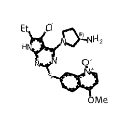 CCc1[nH]c2nc(Sc3ccc4c(OC)cc[n+]([O-])c4c3)nc(N3CC[C@@H](N)C3)c2c1Cl